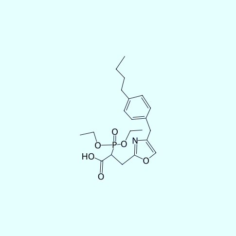 CCCCc1ccc(Cc2coc(CC(C(=O)O)P(=O)(OCC)OCC)n2)cc1